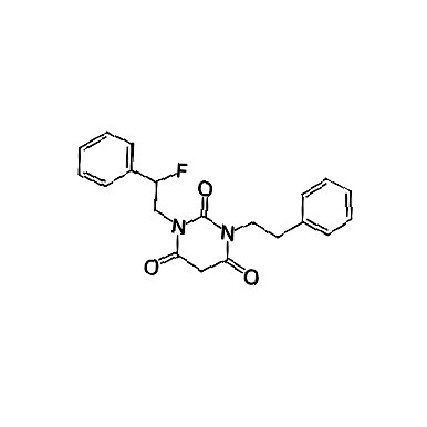 O=C1CC(=O)N(CC(F)c2ccccc2)C(=O)N1CCc1ccccc1